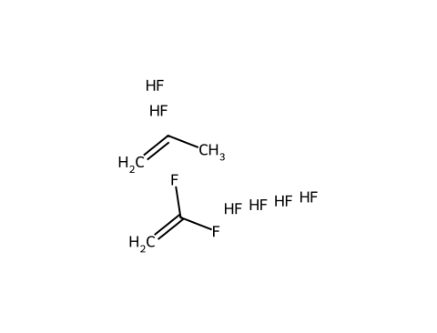 C=C(F)F.C=CC.F.F.F.F.F.F